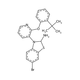 CC(C)(C)c1ccccc1Oc1ncccc1N1c2ccc(Br)cc2SC1N